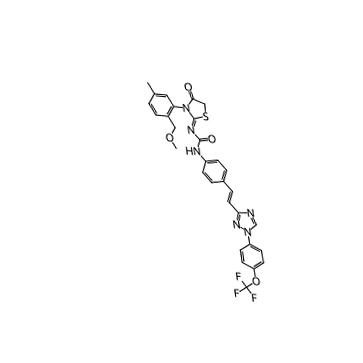 COCc1ccc(C)cc1N1C(=O)CSC1=NC(=O)Nc1ccc(C=Cc2ncn(-c3ccc(OC(F)(F)F)cc3)n2)cc1